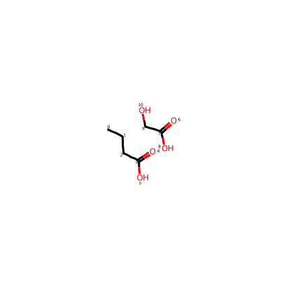 CCCC(=O)O.O=C(O)CO